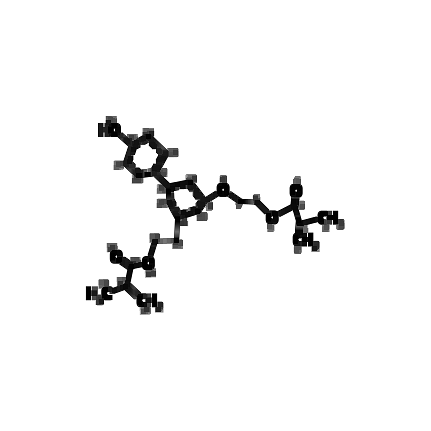 C=C(C)C(=O)OCCOc1cc(CCOC(=O)C(=C)C)cc(-c2ccc(O)cc2)c1